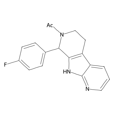 CC(=O)N1CCc2c([nH]c3ncccc23)C1c1ccc(F)cc1